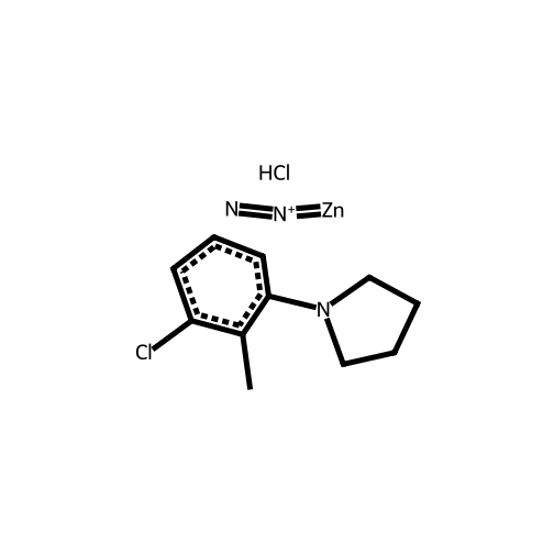 Cc1c(Cl)cccc1N1CCCC1.Cl.[N-]=[N+]=[Zn]